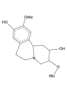 COc1cc2c(cc1O)CCN1CC(OC(C)(C)C)C(O)CC21